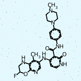 Cc1c(Nc2cc[nH]c(=O)c2C(=O)Nc2ccc(N3CCN(C)CC3)cc2)cnc2c1NCC(F)O2